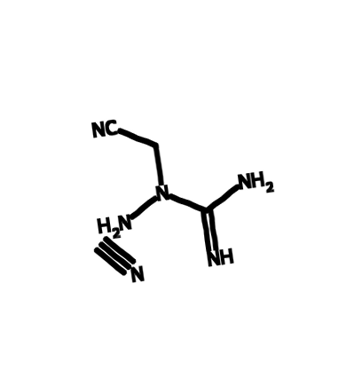 C#N.N#CCN(N)C(=N)N